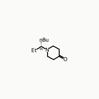 CCCC[C@@H](CC)N1CCC(=O)CC1